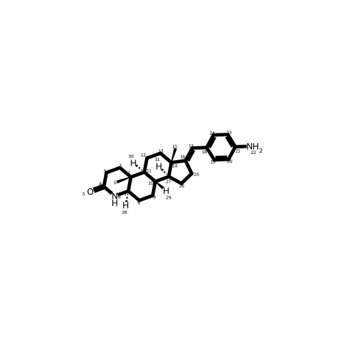 C[C@]12CCC(=O)N[C@@H]1CC[C@@H]1[C@@H]2CC[C@]2(C)C(=Cc3ccc(N)cc3)CC[C@@H]12